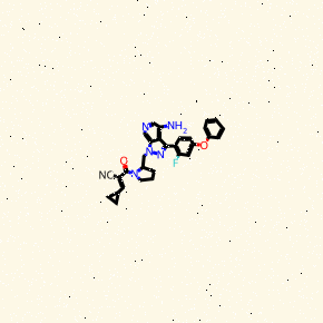 N#CC(=CC1CC1)C(=O)N1CCCC1Cn1nc(-c2ccc(Oc3ccccc3)cc2F)c2c(N)cncc21